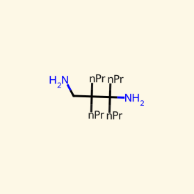 CCCC(N)(CCC)C(CN)(CCC)CCC